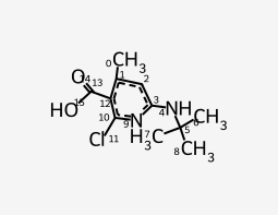 Cc1cc(NC(C)(C)C)nc(Cl)c1C(=O)O